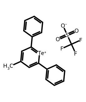 Cc1cc(-c2ccccc2)[te+]c(-c2ccccc2)c1.O=S(=O)([O-])C(F)(F)F